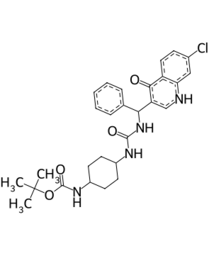 CC(C)(C)OC(=O)NC1CCC(NC(=O)NC(c2ccccc2)c2c[nH]c3cc(Cl)ccc3c2=O)CC1